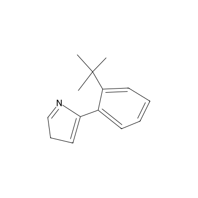 CC(C)(C)c1ccccc1C1=CCC=N1